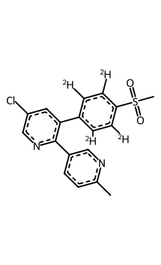 [2H]c1c([2H])c(S(C)(=O)=O)c([2H])c([2H])c1-c1cc(Cl)cnc1-c1ccc(C)nc1